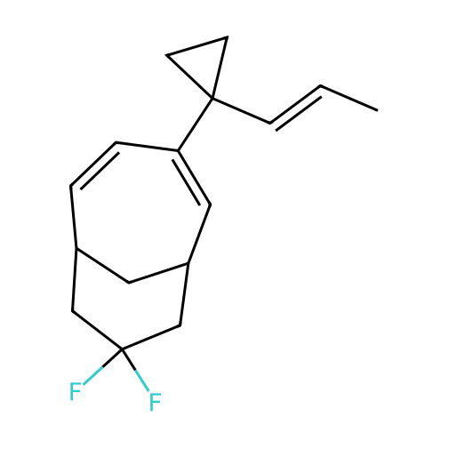 CC=CC1(C2=CC3CC(C=C2)CC(F)(F)C3)CC1